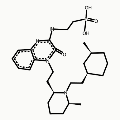 C[C@H]1CCC[C@@H](CCN2[C@H](CCn3c(=O)c(NCCP(=O)(O)O)nc4ccccc43)CCC[C@@H]2C)C1